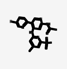 CC(=O)Nc1cc(Nc2cc(C)cc(S(C)(=O)=O)n2)c(-c2ccc(F)cn2)cn1